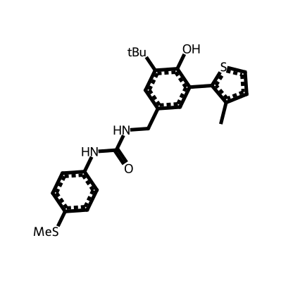 CSc1ccc(NC(=O)NCc2cc(-c3sccc3C)c(O)c(C(C)(C)C)c2)cc1